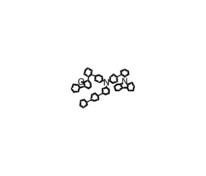 c1ccc(-c2ccc(-c3cccc(N(c4ccc(-c5ccccc5-c5cccc6c5oc5ccccc56)cc4)c4ccc(-c5ccccc5-n5c6ccccc6c6ccccc65)cc4)c3)cc2)cc1